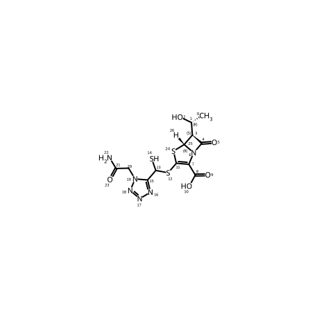 C[C@@H](O)[C@H]1C(=O)N2C(C(=O)O)=C(SC(S)c3nnnn3CC(N)=O)S[C@H]12